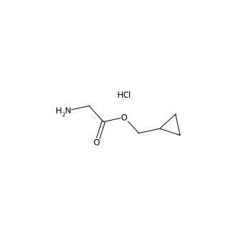 Cl.NCC(=O)OCC1CC1